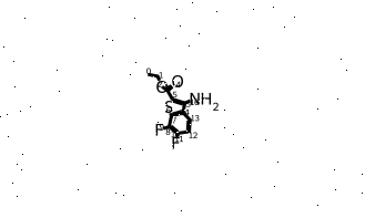 CCOC(=O)c1sc2c(F)c(F)ccc2c1N